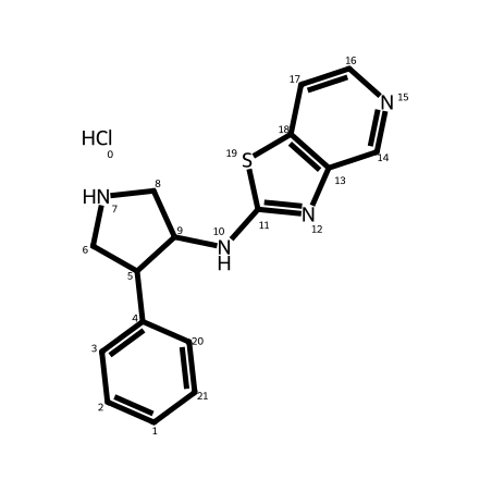 Cl.c1ccc(C2CNCC2Nc2nc3cnccc3s2)cc1